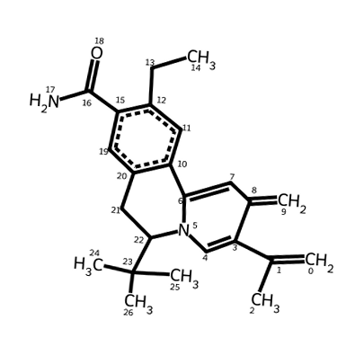 C=C(C)C1=CN2C(=CC1=C)c1cc(CC)c(C(N)=O)cc1CC2C(C)(C)C